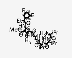 CCC(C(=O)Nc1sc(C(=O)NCCNC(=O)[C@@H](NC(=O)[C@@H](NC(=O)[C@@H](N)C(C)C)C(C)C)C(C)C)c(C)c1C(=O)OC)c1cc(F)cc(F)c1